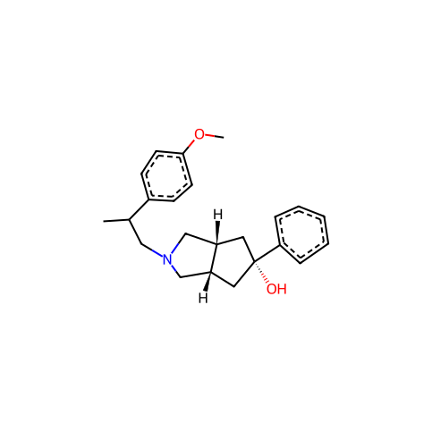 COc1ccc(C(C)CN2C[C@@H]3C[C@@](O)(c4ccccc4)C[C@@H]3C2)cc1